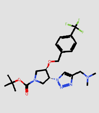 CN(C)Cc1cn([C@@H]2CN(C(=O)OC(C)(C)C)C[C@H]2OCc2ccc(C(F)(F)F)cc2)nn1